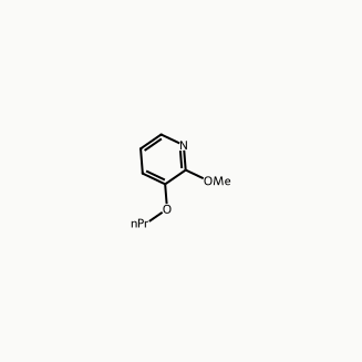 CCCOc1cccnc1OC